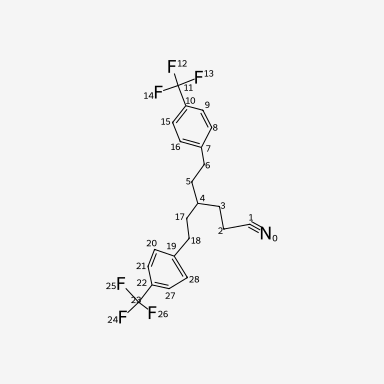 N#CCCC(CCc1ccc(C(F)(F)F)cc1)CCc1ccc(C(F)(F)F)cc1